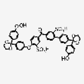 O=C(c1ccc(Oc2ccc(C3(c4ccc(OO)cc4)OCCO3)cc2)c(S(=O)(=O)O)c1)c1ccc(-c2ccc(C3(c4ccc(O)cc4)OCCO3)cc2)c(S(=O)(=O)O)c1